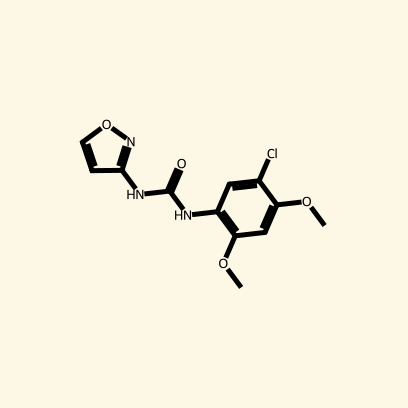 COc1cc(OC)c(NC(=O)Nc2ccon2)cc1Cl